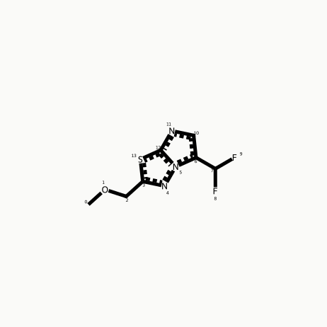 COCc1nn2c(C(F)F)cnc2s1